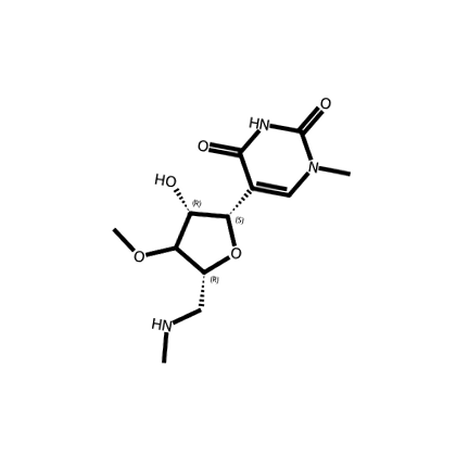 CNC[C@H]1O[C@@H](c2cn(C)c(=O)[nH]c2=O)[C@@H](O)C1OC